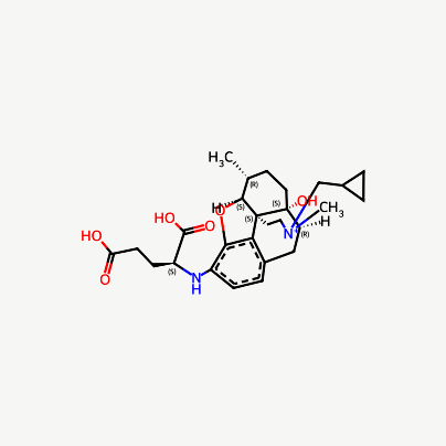 C[C@@H]1CC[C@@]2(O)[C@H]3Cc4ccc(N[C@@H](CCC(=O)O)C(=O)O)c5c4[C@@]2(CC[N+]3(C)CC2CC2)[C@H]1O5